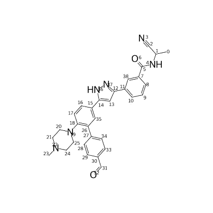 CC(C#N)NC(=O)c1cccc(-c2cc(-c3ccc(N4CCN(C)CC4)c(-c4ccc(C=O)cc4)c3)[nH]n2)c1